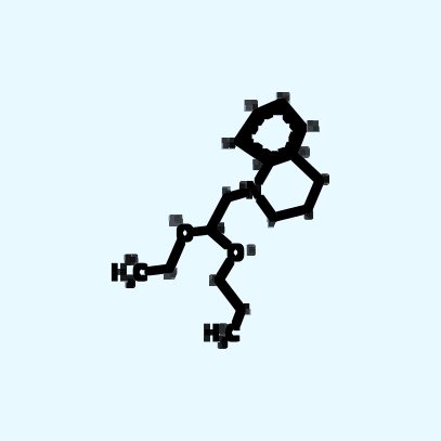 CCCOC(CN1CCCc2ccccc21)OCC